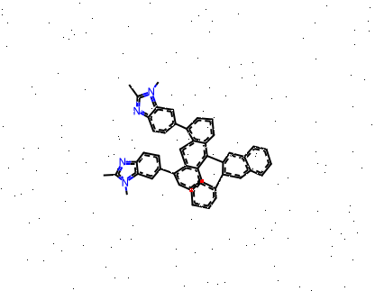 Cc1nc2ccc(-c3cccc4c(-c5cc6ccccc6cc5-c5ccccc5)c5cccc(-c6ccc7nc(C)n(C)c7c6)c5cc34)cc2n1C